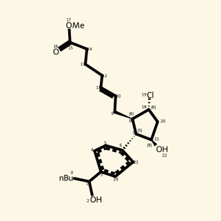 CCCCC(O)c1ccc([C@@H]2[C@@H](CC=CCCCC(=O)OC)[C@H](Cl)C[C@H]2O)cc1